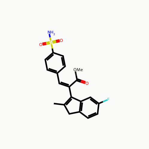 COC(=O)C(=Cc1ccc(S(N)(=O)=O)cc1)C1=C(C)Cc2ccc(F)cc21